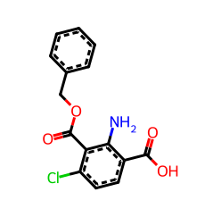 Nc1c(C(=O)O)ccc(Cl)c1C(=O)OCc1ccccc1